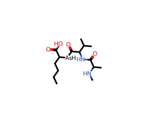 CCCCC([AsH]C(=O)C(NC(=O)C(C)NC)C(C)C)C(=O)O